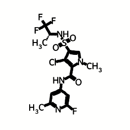 Cc1cc(NC(=O)c2c(Cl)c(S(=O)(=O)N[C@H](C)C(F)(F)F)cn2C)cc(F)n1